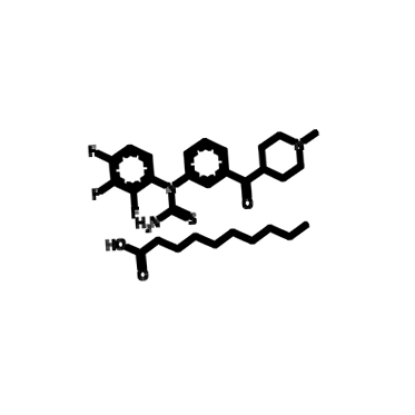 CCCCCCCCCC(=O)O.CN1CCC(C(=O)c2cccc(N(C(N)=S)c3ccc(F)c(F)c3F)c2)CC1